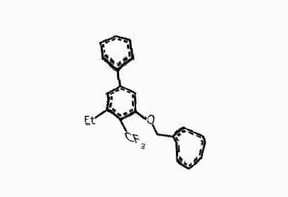 [CH2]Cc1cc(-c2ccccc2)cc(OCc2ccccc2)c1C(F)(F)F